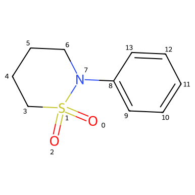 O=S1(=O)CCCCN1c1ccccc1